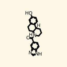 O=C(c1ccc2[nH]cnc2c1)N1CCC[C@H]2c3ccc(O)cc3CC[C@@H]21